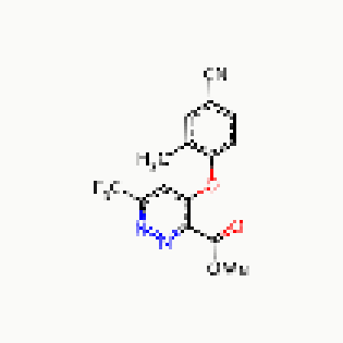 COC(=O)c1nnc(C(F)(F)F)cc1Oc1ccc(C#N)cc1C